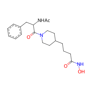 CC(=O)NC(Cc1ccccc1)C(=O)N1CCC(CCCC(=O)NO)CC1